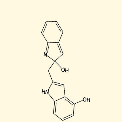 Oc1cccc2[nH]c(CC3(O)C=c4ccccc4=N3)cc12